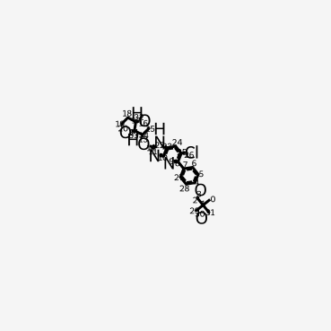 CC1(COc2ccc(-c3nc4nc(O[C@@H]5CO[C@@H]6CCO[C@@H]65)[nH]c4cc3Cl)cc2)COC1